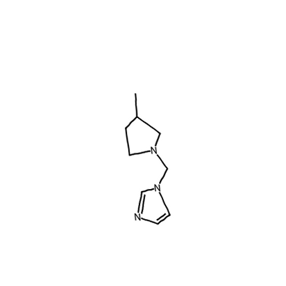 CC1CCN(Cn2ccnc2)C1